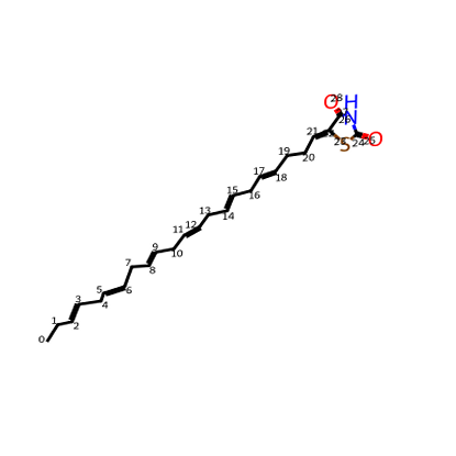 CCC=CCC=CCC=CCC=CCC=CCC=CCCC=C1SC(=O)NC1=O